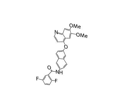 COc1cc2nccc(Oc3ccc4cc(NC(=O)c5cc(F)ccc5F)ccc4c3)c2cc1OC